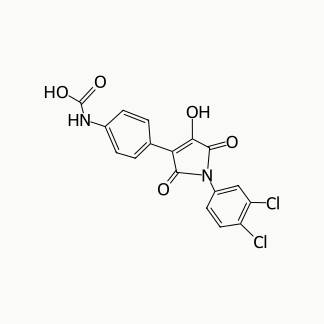 O=C(O)Nc1ccc(C2=C(O)C(=O)N(c3ccc(Cl)c(Cl)c3)C2=O)cc1